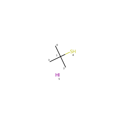 CC(C)(C)S.I